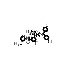 Cc1ccnc(NC(=O)c2cc(F)cc(N(C3CN(C(c4ccc(Cl)cc4)c4ccc(Cl)cc4)C3)S(C)(=O)=O)c2)c1